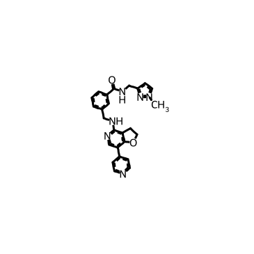 Cn1ccc(CNC(=O)c2cccc(CNc3ncc(-c4ccncc4)c4c3CCO4)c2)n1